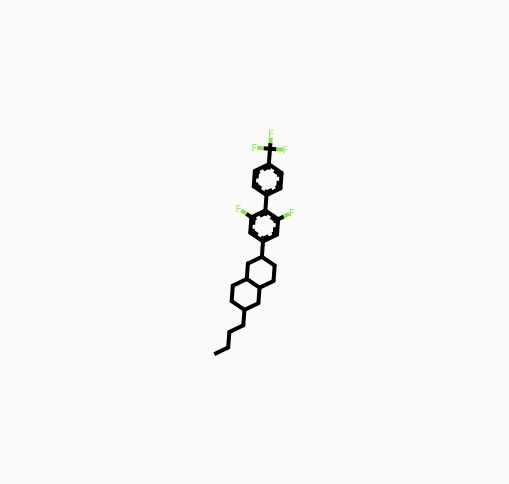 CCCCC1CCC2CC(c3cc(F)c(-c4ccc(C(F)(F)F)cc4)c(F)c3)CCC2C1